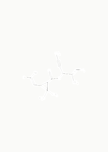 CC#CC(OC(=O)C1C(C=C(Br)Br)C1(C)C)/C(C)=C/C(F)(F)F